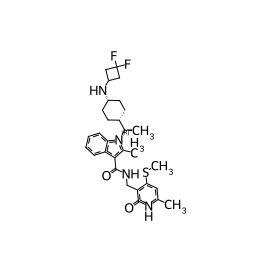 CSc1cc(C)[nH]c(=O)c1CNC(=O)c1c(C)n([C@H](C)[C@H]2CC[C@@H](NC3CC(F)(F)C3)CC2)c2ccccc12